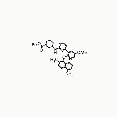 COc1cnc(Oc2c(C)ccc3c(N)cccc23)c(-c2ccnc(N[C@H]3CCCN(C(=O)OC(C)(C)C)C3)n2)c1